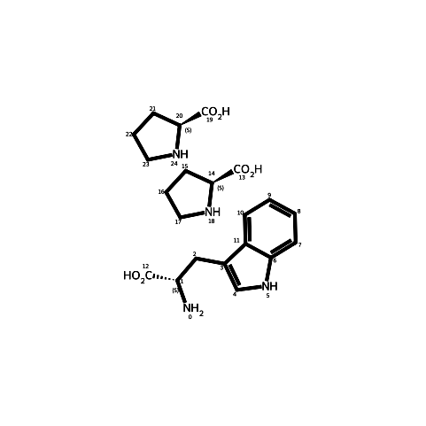 N[C@@H](Cc1c[nH]c2ccccc12)C(=O)O.O=C(O)[C@@H]1CCCN1.O=C(O)[C@@H]1CCCN1